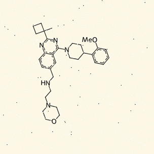 COc1ccccc1C1CCN(c2nc(C3(C)CCC3)nc3ccc(CNCCN4CCOCC4)cc23)CC1